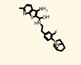 Cc1ccc2c(N)c(C(O)NCCc3ccc(N4CC5CCC(C4)N5)c(F)c3)sc2n1